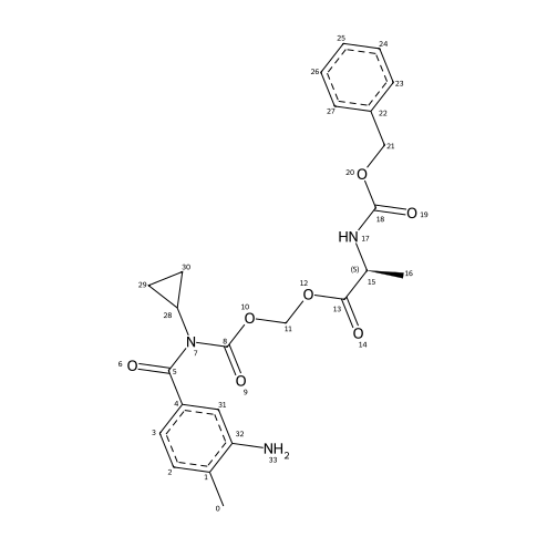 Cc1ccc(C(=O)N(C(=O)OCOC(=O)[C@H](C)NC(=O)OCc2ccccc2)C2CC2)cc1N